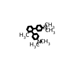 Cc1cccc(-c2ccc(N(C)C)cc2)c1-c1ccc(N(C)C)cc1